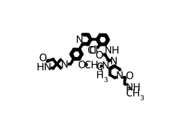 CNCC(=O)N1CCc2c(nc(C(=O)Nc3cccc(-c4ccnc(-c5ccc(CN6CC7(CNC(=O)C7)C6)c(OC)c5)c4Cl)c3Cl)n2C)C1